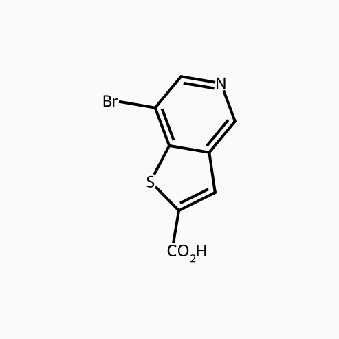 O=C(O)c1cc2cncc(Br)c2s1